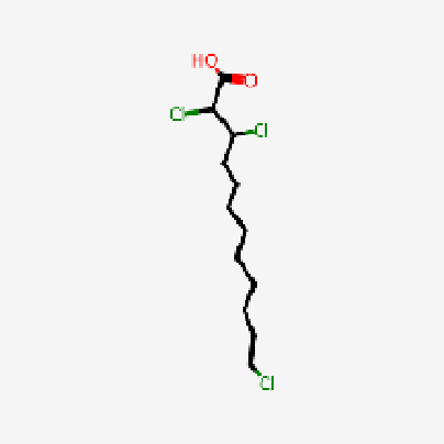 O=C(O)C(Cl)C(Cl)CCCCCCCCCCl